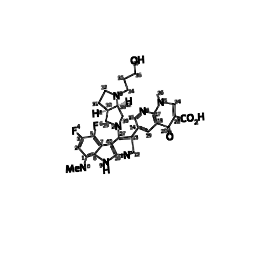 CNc1cc(F)c(F)c2c1[nH]c1ncc(-c3cnc4c(c3)c(=O)c(C(=O)O)cn4C)c(N3C[C@H]4CCN(CCCO)[C@H]4C3)c12